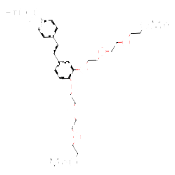 CCOC(=O)c1ccc(C=Cc2ccc(OCCOCCOCCOC)c(OCCOCCOCCOC)c2)cc1